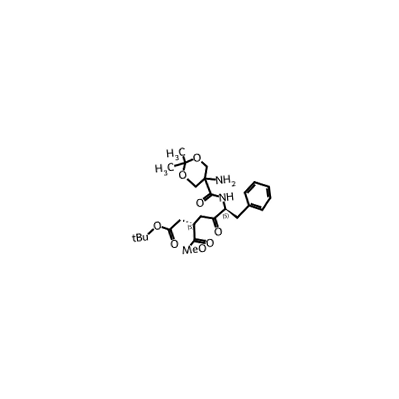 COC(=O)[C@H](CC(=O)OC(C)(C)C)CC(=O)[C@H](Cc1ccccc1)NC(=O)C1(N)COC(C)(C)OC1